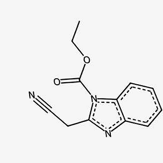 CCOC(=O)n1c(CC#N)nc2ccccc21